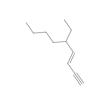 C#C/C=C/C(CC)CCCC